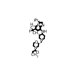 C=CC(=O)N1CCO[C@H](CN2CCC(Nc3cc(C(C)(C)F)cn4c(C(C)C)cnc34)CC2)C1